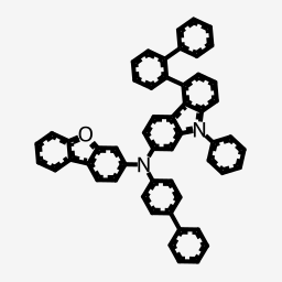 c1ccc(-c2ccc(N(c3ccc4c(c3)oc3ccccc34)c3ccc4c5c(-c6ccccc6-c6ccccc6)cccc5n(-c5ccccc5)c4c3)cc2)cc1